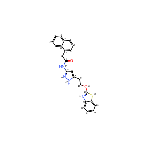 O=C(Cc1cccc2ccccc12)Nc1cc(CCOc2nc3ccccc3s2)[nH]n1